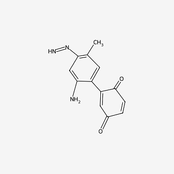 Cc1cc(C2=CC(=O)C=CC2=O)c(N)cc1N=N